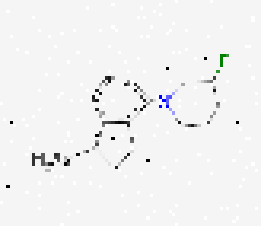 FC1CCCN(c2cccc3c2CCC3[AsH2])C1